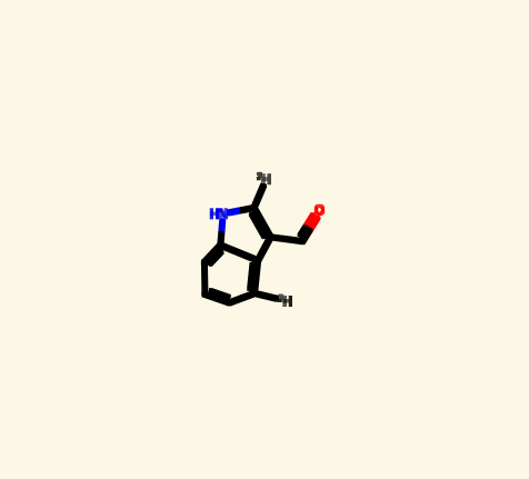 [2H]c1[nH]c2cccc([2H])c2c1C=O